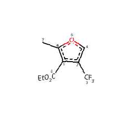 CCOC(=O)c1c(C(F)(F)F)coc1C